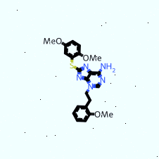 COc1ccc(OC)c(Sc2nc3c(N)ncn(CCc4ccccc4OC)c-3n2)c1